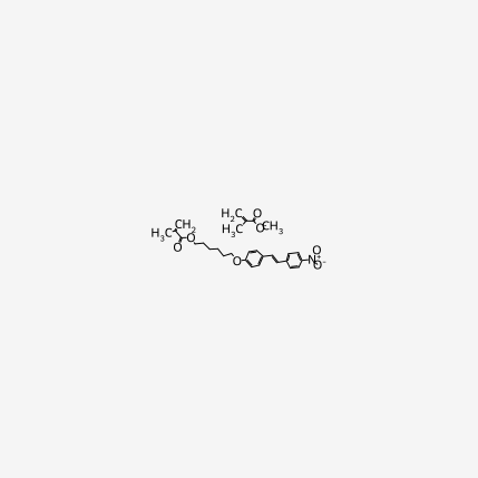 C=C(C)C(=O)OC.C=C(C)C(=O)OCCCCCCOc1ccc(C=Cc2ccc([N+](=O)[O-])cc2)cc1